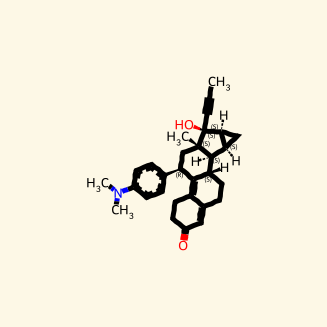 CC#C[C@]1(O)[C@H]2C[C@H]2[C@H]2[C@@H]3CCC4=CC(=O)CCC4=C3[C@@H](c3ccc(N(C)C)cc3)C[C@@]21C